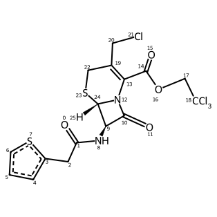 O=C(Cc1cccs1)N[C@@H]1C(=O)N2C(C(=O)OCC(Cl)(Cl)Cl)=C(CCl)CS[C@@H]12